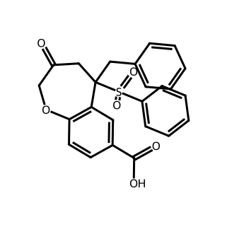 O=C1COc2ccc(C(=O)O)cc2C(Cc2ccccc2)(S(=O)(=O)c2ccccc2)C1